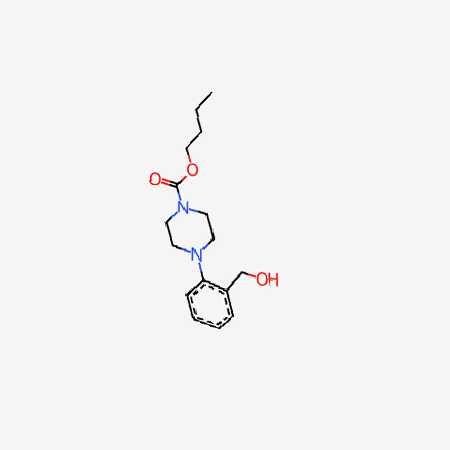 CCCCOC(=O)N1CCN(c2ccccc2CO)CC1